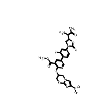 COC(=O)c1cc(-c2ccc(N3CC(C(N)C(C)=O)OC3=O)cc2F)cnc1OC1COc2nc([N+](=O)[O-])cn2C1